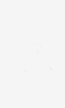 N#Cc1cc(C#N)cc(-n2c3ccccc3c3ccc4c(c32)-c2ccccc2P4(=O)c2ccccc2)c1